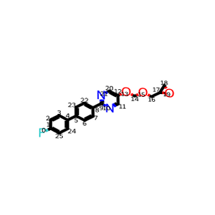 Fc1ccc(-c2ccc(-c3ncc(OCOCC4CO4)cn3)cc2)cc1